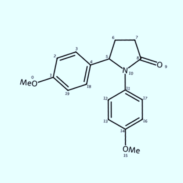 COc1ccc(C2CCC(=O)N2c2ccc(OC)cc2)cc1